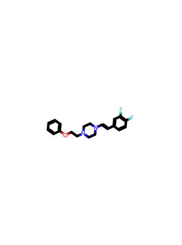 Fc1ccc(C=CN2CCN(CCOc3ccccc3)CC2)cc1F